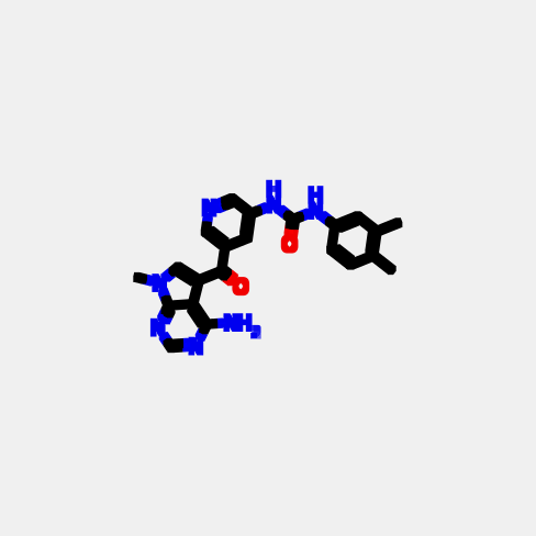 Cc1ccc(NC(=O)Nc2cncc(C(=O)c3cn(C)c4ncnc(N)c34)c2)cc1C